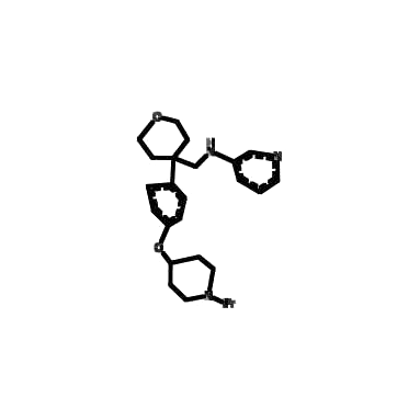 CC(C)N1CCC(Oc2ccc(C3(CNc4cccnc4)CCOCC3)cc2)CC1